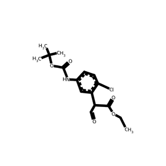 CCOC(=O)C(C=O)c1cc(NC(=O)OC(C)(C)C)ccc1Cl